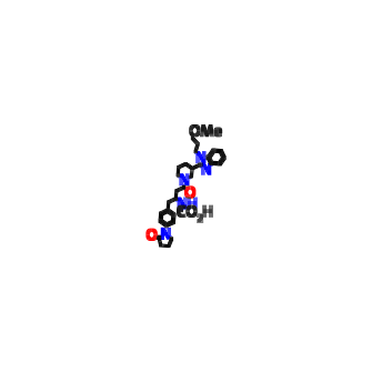 COCCCn1c(C2CCCN(C(=O)CC(Cc3ccc(N4CCCC4=O)cc3)NC(=O)O)C2)nc2ccccc21